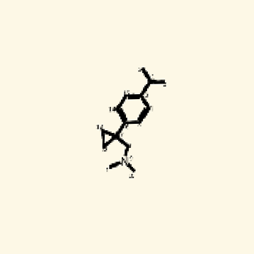 CC(C)c1ccc(C2(CN(C)C)CC2)cc1